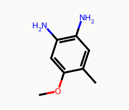 COc1cc(N)c(N)cc1C